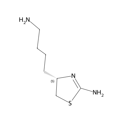 NCCCC[C@H]1CSC(N)=N1